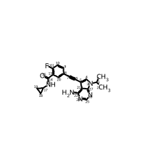 CC(C)n1cc(C#Cc2ccc(F)c(C(=O)NC3CC3)c2)c2c(N)ncnc21